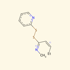 CC/C=C\C(=N/C)SSc1ccccn1